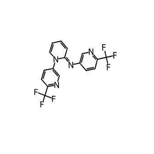 FC(F)(F)c1ccc(N=c2ccccn2-c2ccc(C(F)(F)F)nc2)cn1